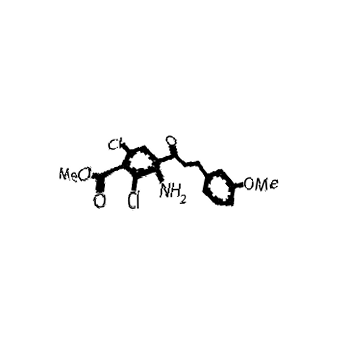 COC(=O)c1c(Cl)cc(C(=O)CCc2cccc(OC)c2)c(N)c1Cl